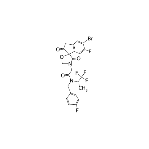 C[C@H](N(Cc1ccc(F)cc1)C(=O)CN1COC2(C(=O)Cc3cc(Br)c(F)cc32)C1=O)C(F)(F)F